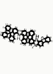 Nc1ccc2c(oc3ccccc32)c1Nc1cccc2c1-c1ccccc1C21c2ccccc2-c2c(Nc3cccc4c3-c3ccccc3C4(c3ccccc3)c3ccccc3)cccc21